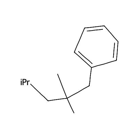 CC(C)CC(C)(C)Cc1ccccc1